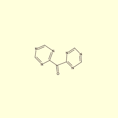 O=C(c1ncncn1)c1ncncn1